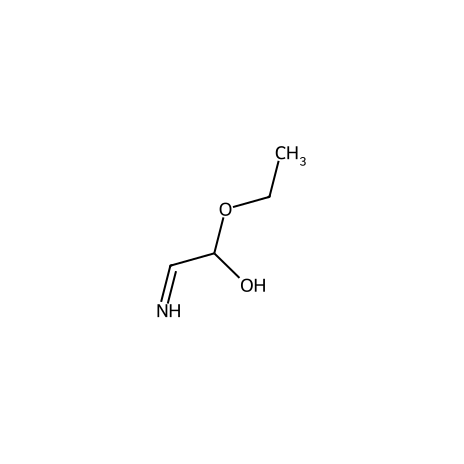 CCOC(O)C=N